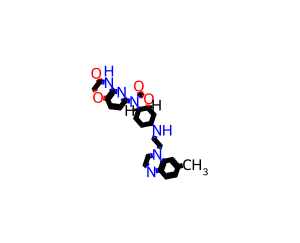 Cc1ccc2c(c1)N(CCN[C@H]1CC[C@H]3[C@@H](C1)OC(=O)N3c1ccc3c(n1)NC(=O)CO3)CC=N2